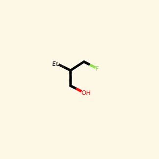 [CH2]CC(CO)CF